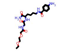 CCOCCOCC(=O)NCC(=O)NC(CCCCNC(=O)c1ccc(N)cc1)C(N)=O